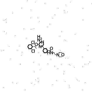 CC(Oc1nc(-c2cccc(C(=O)NCCN3CCOCC3)c2)cnc1N)c1c(Cl)cccc1Cl